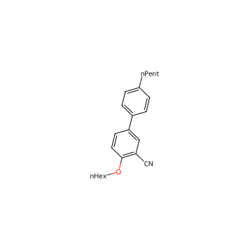 CCCCCCOc1ccc(-c2ccc(CCCCC)cc2)cc1C#N